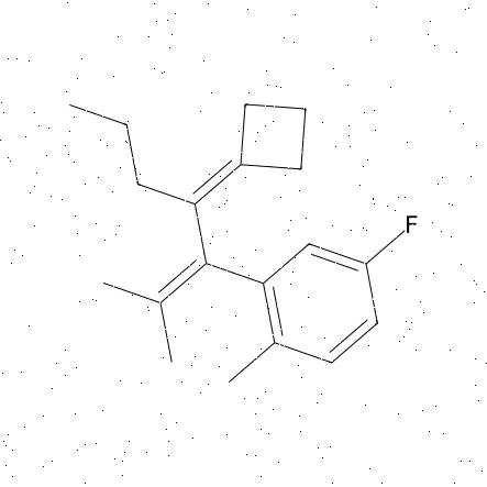 CCCC(=C1CCC1)C(=C(C)C)c1cc(F)ccc1C